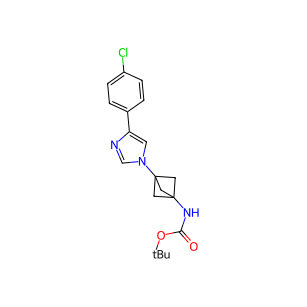 CC(C)(C)OC(=O)NC12CC(n3cnc(-c4ccc(Cl)cc4)c3)(C1)C2